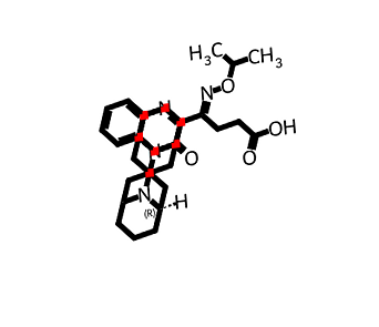 CC(C)ON=C(CCC(=O)O)c1nc2ccccc2n(C2CC3CCC[C@H](C2)N3C2CC3CCCC(C3)C2)c1=O